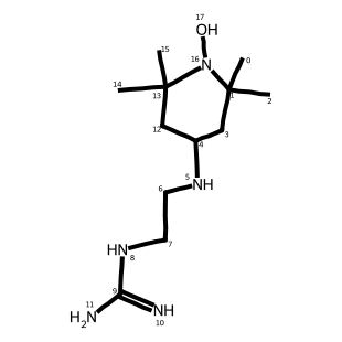 CC1(C)CC(NCCNC(=N)N)CC(C)(C)N1O